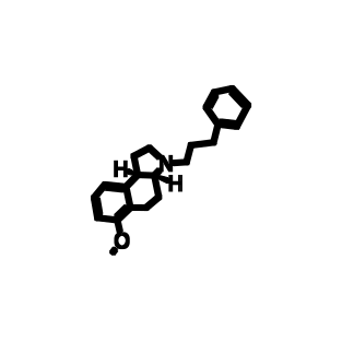 COc1cccc2c1CC[C@@H]1[C@H]2CCN1CCCc1ccccc1